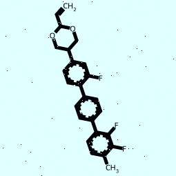 C=CC1OCC(c2ccc(-c3ccc(-c4ccc(C)c(F)c4F)cc3)c(F)c2)CO1